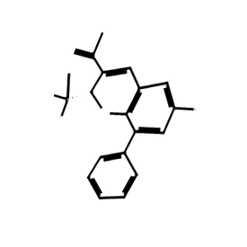 O=C(O)C1=Cc2cc(Cl)cc(-c3ccccc3)c2O[C@@H]1C(F)(F)F